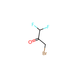 O=C(CBr)C(F)F